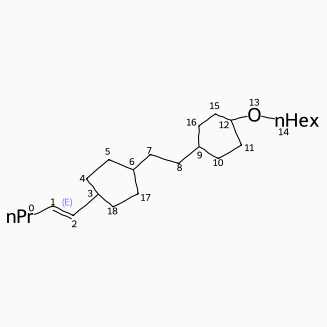 CCC/C=C/C1CCC(CCC2CCC(OCCCCCC)CC2)CC1